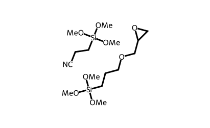 CO[Si](CCC#N)(OC)OC.CO[Si](CCCOCC1CO1)(OC)OC